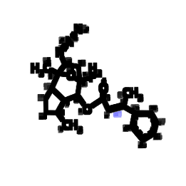 C/C(=C\C(=O)OC1C2C(C)CCC2C2(C)OC1(P)CC2N=[N+]=[N-])c1ccccc1